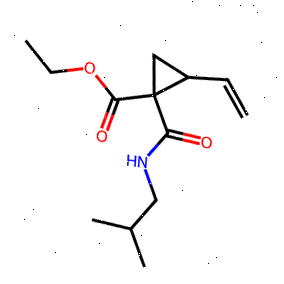 C=CC1CC1(C(=O)NCC(C)C)C(=O)OCC